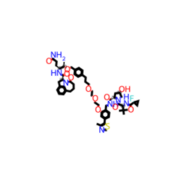 Cc1ncsc1-c1ccc(CNC(=O)[C@@H]2C[C@@H](O)CN2C(=O)[C@@H](NC(=O)C2(F)CC2)C(C)(C)C)c(OCCOCCOCCCc2ccc(CO[C@H](C)[C@H](CCC(N)=O)NC(=O)[C@@H]3Cc4cccc5c4N3C(=O)CCC5)cc2)c1